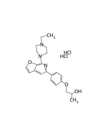 CCN1CCN(c2nc(-c3ccc(OCC(C)O)cc3)cc3ccoc23)CC1.Cl.Cl